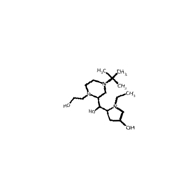 CCN1CC(O)CC1C(O)C1CN(C(C)(C)C)CCN1CCO